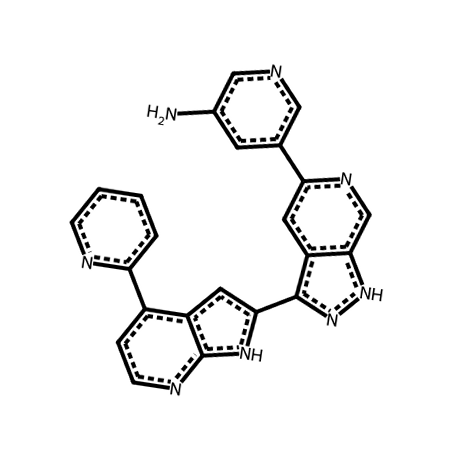 Nc1cncc(-c2cc3c(-c4cc5c(-c6ccccn6)ccnc5[nH]4)n[nH]c3cn2)c1